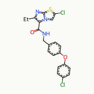 CCc1nc2sc(Cl)cn2c1C(=O)NCc1ccc(Oc2ccc(Cl)cc2)cc1